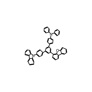 c1ccc(N(c2ccccc2)c2ccc(-c3cc(-c4ccc(-n5c6ccccc6c6ccccc65)cc4)cc(-c4cccc5c4oc4ccccc45)c3)cc2)cc1